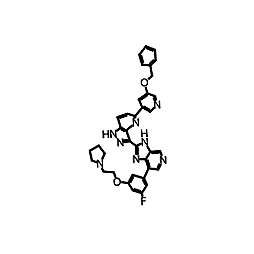 Fc1cc(OCCN2CCCC2)cc(-c2cncc3[nH]c(-c4n[nH]c5ccc(-c6cncc(OCc7ccccc7)c6)nc45)nc23)c1